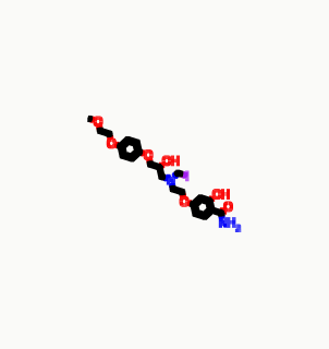 COCCOc1ccc(OCC(O)CN(CI)CCOc2ccc(C(N)=O)c(O)c2)cc1